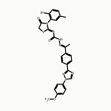 C/C(=N\NC(=O)/N=C1\SCC(=O)N1c1cc(C)ccc1C(C)C)c1ccc(-c2ncn(-c3ccc(OC(F)(F)F)cc3)n2)cc1